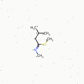 CN=C(CC(C)C)SC